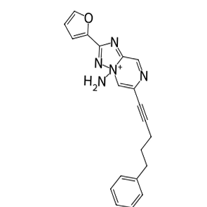 N[N+]12C=C(C#CCCCc3ccccc3)N=CC1=NC(c1ccco1)=N2